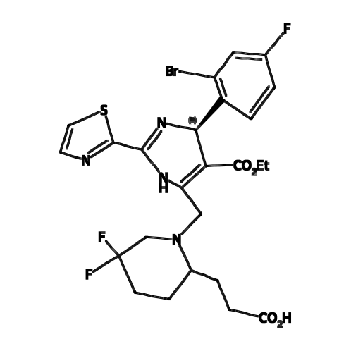 CCOC(=O)C1=C(CN2CC(F)(F)CCC2CCC(=O)O)NC(c2nccs2)=N[C@H]1c1ccc(F)cc1Br